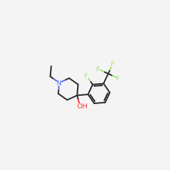 CCN1CCC(O)(c2cccc(C(F)(F)F)c2F)CC1